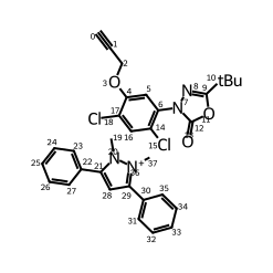 C#CCOc1cc(-n2nc(C(C)(C)C)oc2=O)c(Cl)cc1Cl.Cn1c(-c2ccccc2)cc(-c2ccccc2)[n+]1C